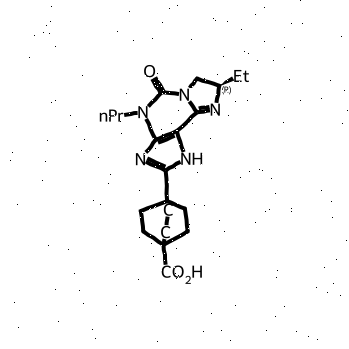 CCCN1C(=O)N2C[C@@H](CC)N=C2c2[nH]c(C34CCC(C(=O)O)(CC3)CC4)nc21